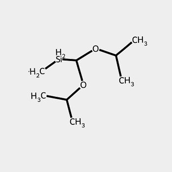 [CH2][SiH2]C(OC(C)C)OC(C)C